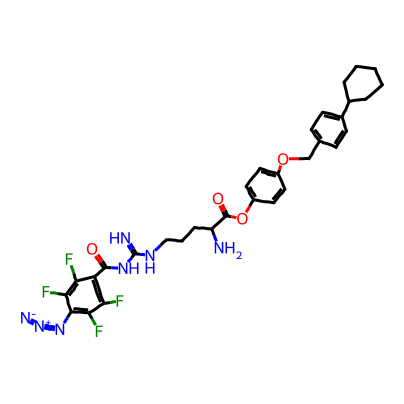 [N-]=[N+]=Nc1c(F)c(F)c(C(=O)NC(=N)NCCCC(N)C(=O)Oc2ccc(OCc3ccc(C4CCCCC4)cc3)cc2)c(F)c1F